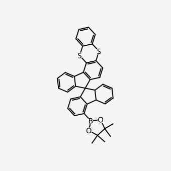 CC1(C)OB(c2cccc3c2C2C=CC=CC2C32c3ccccc3-c3c2ccc2c3Sc3ccccc3S2)OC1(C)C